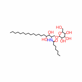 CCCCCCCCCCCCCCC(O)C(O)C(COC1OC(CO)C(O)C(O)C1O)NC(=O)CCCCCC